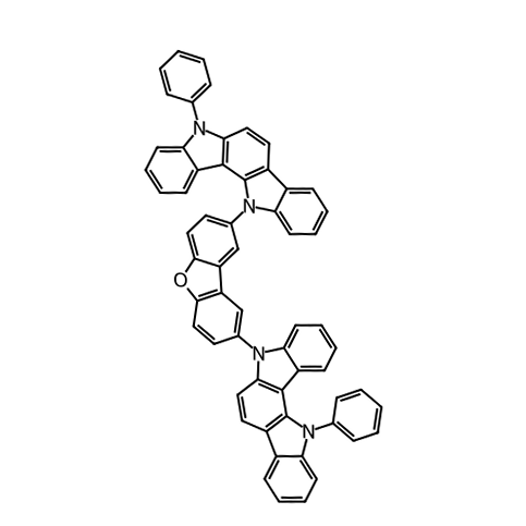 c1ccc(-n2c3ccccc3c3c2ccc2c4ccccc4n(-c4ccc5oc6ccc(-n7c8ccccc8c8c7ccc7c9ccccc9n(-c9ccccc9)c78)cc6c5c4)c23)cc1